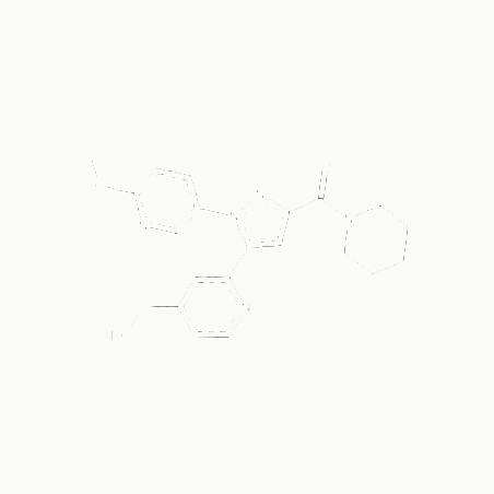 COc1ccc(-n2nc(C(=O)N3CCCCC3)cc2-c2cc(SC)ccn2)cn1